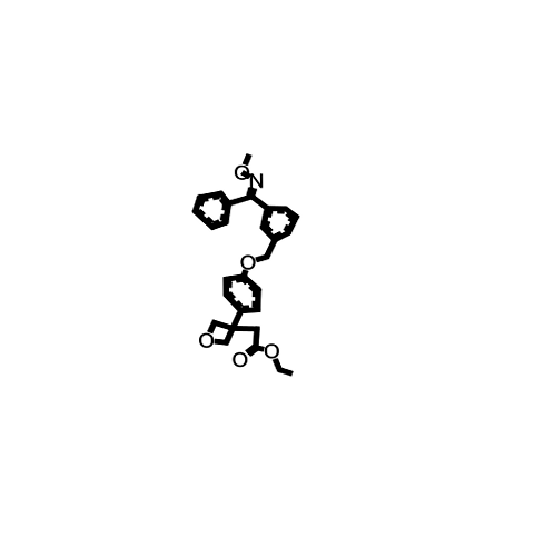 CCOC(=O)CC1(c2ccc(OCc3cccc(/C(=N/OC)c4ccccc4)c3)cc2)COC1